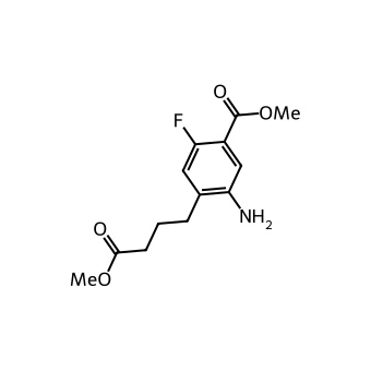 COC(=O)CCCc1cc(F)c(C(=O)OC)cc1N